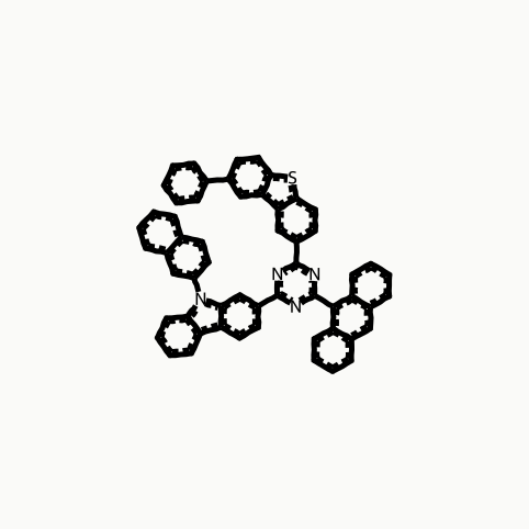 c1ccc(-c2ccc3sc4ccc(-c5nc(-c6ccc7c8ccccc8n(-c8ccc9ccccc9c8)c7c6)nc(-c6c7ccccc7cc7ccccc67)n5)cc4c3c2)cc1